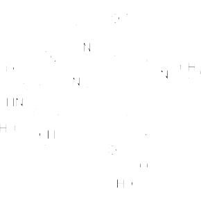 COC(=O)c1ccc2c(c1)c(C[C@H]1COCCN1c1nc3c(s1)C(=O)NC(C)(C)C3)cn2C